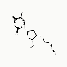 Cc1cn([C@H]2C[C@@H](OCN=[N+]=[N-])[C@@H](CO)O2)c(=O)[nH]c1=O